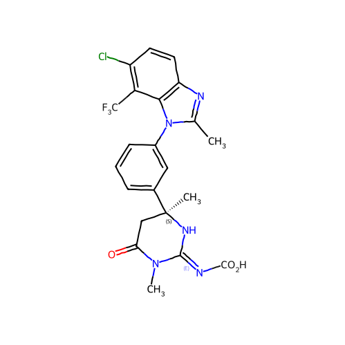 Cc1nc2ccc(Cl)c(C(F)(F)F)c2n1-c1cccc([C@]2(C)CC(=O)N(C)/C(=N/C(=O)O)N2)c1